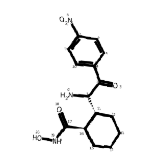 NC(C(=O)c1ccc([N+](=O)[O-])cc1)[C@@H]1CCCC[C@H]1C(=O)NO